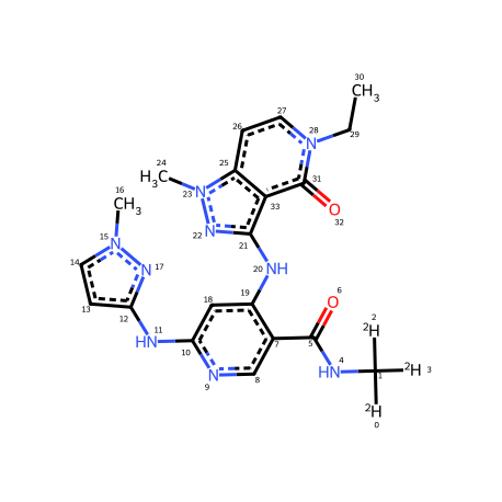 [2H]C([2H])([2H])NC(=O)c1cnc(Nc2ccn(C)n2)cc1Nc1nn(C)c2ccn(CC)c(=O)c12